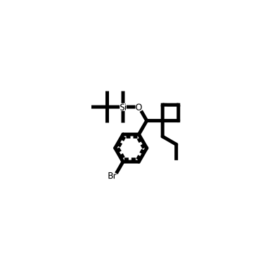 CCCC1(C(O[Si](C)(C)C(C)(C)C)c2ccc(Br)cc2)CCC1